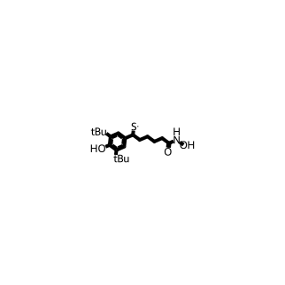 CC(C)(C)c1cc(C([S])CCCCC(=O)NO)cc(C(C)(C)C)c1O